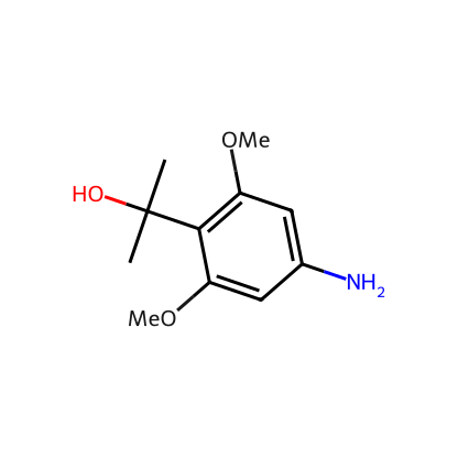 COc1cc(N)cc(OC)c1C(C)(C)O